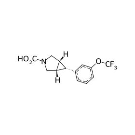 O=C(O)N1C[C@@H]2[C@H](C1)[C@@H]2c1cccc(OC(F)(F)F)c1